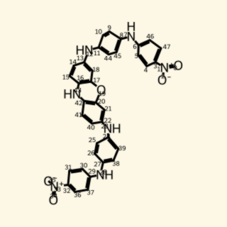 O=[N+]([O-])c1ccc(Nc2ccc(Nc3ccc4c(c3)Oc3cc(Nc5ccc(Nc6ccc([N+](=O)[O-])cc6)cc5)ccc3N4)cc2)cc1